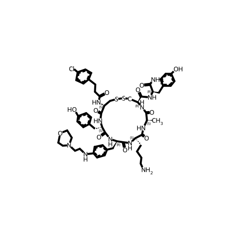 C[C@@H]1NC(=O)[C@H](CCCCN)NC(=O)[C@@H](Cc2ccc(NCCN3CCOCC3)cc2)NC(=O)[C@H](Cc2ccc(O)cc2)NC(=O)[C@H](NC(=O)CCc2ccc(Cl)cc2)CSSC[C@@H](C(=O)N[C@H](Cc2ccc(O)cc2)C(N)=O)NC1=O